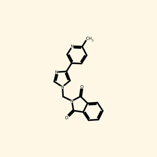 Cc1ccc(-c2cn(CN3C(=O)c4ccccc4C3=O)cn2)cn1